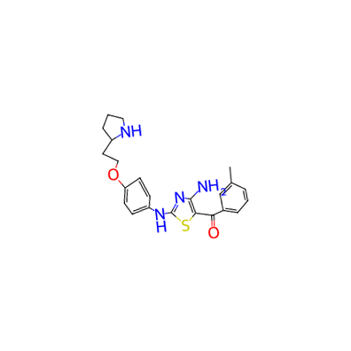 Cc1cccc(C(=O)c2sc(Nc3ccc(OCCC4CCCN4)cc3)nc2N)c1